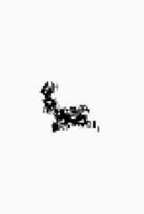 Cc1ccc(-c2cc3cnc(Nc4ccc(C5CCNC5)cc4)nc3n(C3CCCC3)c2=O)c([S+]([O-])C(C)C)c1